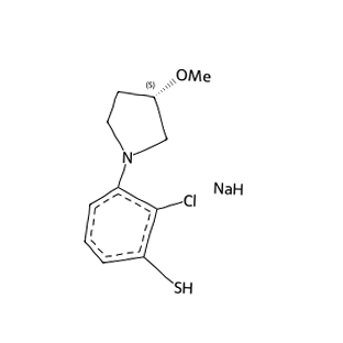 CO[C@H]1CCN(c2cccc(S)c2Cl)C1.[NaH]